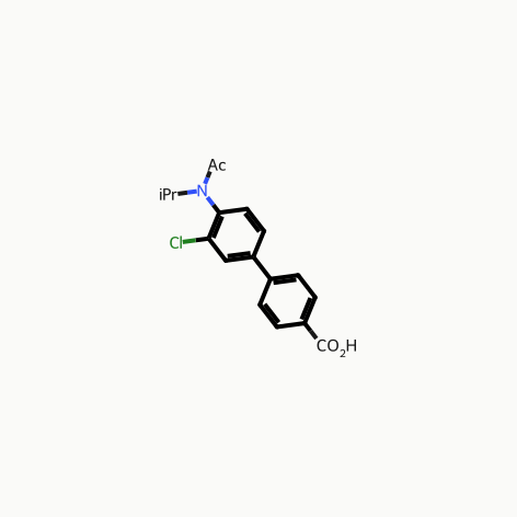 CC(=O)N(c1ccc(-c2ccc(C(=O)O)cc2)cc1Cl)C(C)C